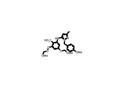 COCOOc1cc(OCOC)cc(Nc2cc(C)nn2Cc2ccc(OC)cc2)c1C(=O)O